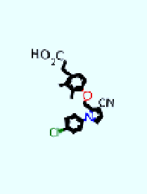 Cc1c(CCC(=O)O)ccc(OCc2c(C#N)ccn2-c2ccc(Cl)cc2)c1C